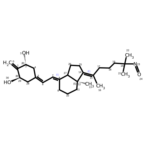 C=C1[C@H](O)CC(=C/C=C2\CCC[C@]3(C)/C(=C(\C)CCCC(C)(C)N=O)CCC23)C[C@H]1O